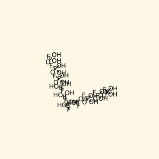 O=P(O)(O)F.O=P(O)(O)F.O=P(O)(O)F.O=P(O)(O)F.O=P(O)(O)F.O=P(O)(O)F.OB(O)F.OB(O)F.OB(O)F.OB(O)F